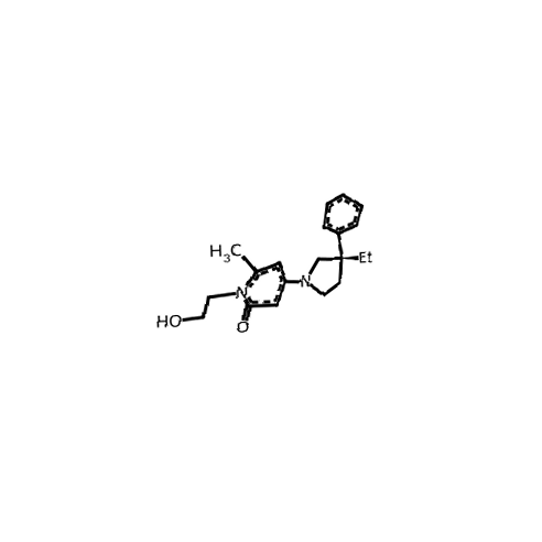 CC[C@@]1(c2ccccc2)CCN(c2cc(C)n(CCO)c(=O)c2)C1